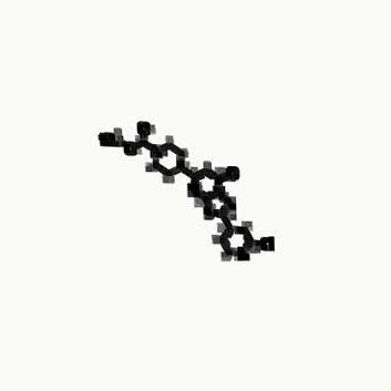 CC(C)(C)OC(=O)N1CC=C(c2cc(=O)n3nc(-c4ccnc(Cl)c4)sc3n2)CC1